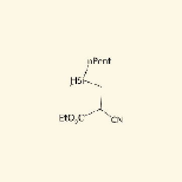 CCCCC[SiH](C)CC(C#N)C(=O)OCC